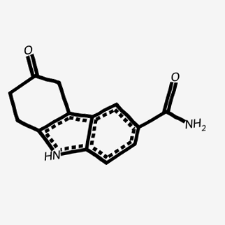 NC(=O)c1ccc2[nH]c3c(c2c1)CC(=O)CC3